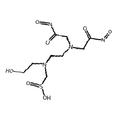 O=NC(=O)CN(CCN(CCO)CS(=O)O)CC(=O)N=O